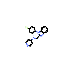 Fc1ccc(-n2c(CNc3ccncc3)nc3ccccc32)cc1